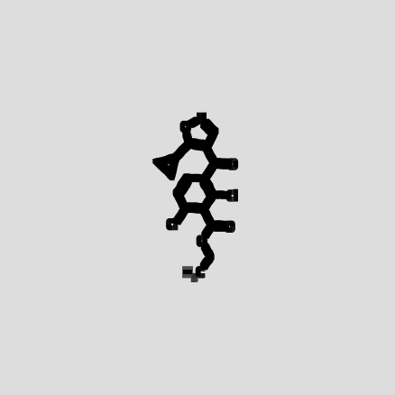 CCOC(=O)c1c(Cl)ccc(C(=O)c2cnoc2C2CC2)c1Cl